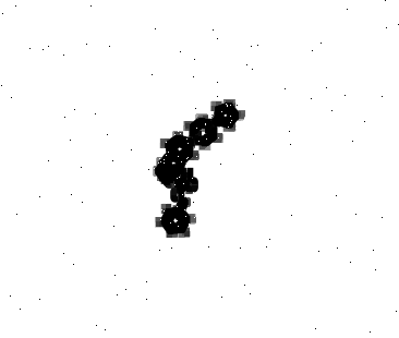 C[C@H]1C2CCN(C(=O)OCc3ccccc3)[C@H]1c1cc(N3CCN(C4CCCC4)CC3)ccc12